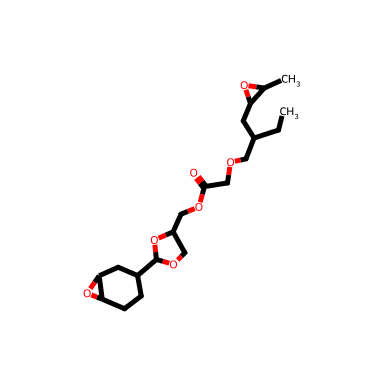 CCC(COCC(=O)OCC1COC(C2CCC3OC3C2)O1)CC1OC1C